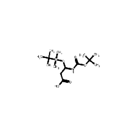 CC(C)(C)OC(=O)NC(CC(=O)O)O[Si](C)(C)C(C)(C)C